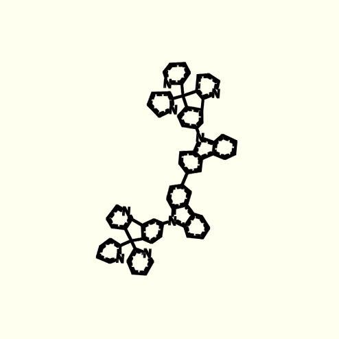 c1ccc(C2(c3ccccn3)c3ccc(-n4c5ccccc5c5cc(-c6ccc7c(c6)c6ccccc6n7-c6ccc7c(c6)-c6ncccc6C7(c6ccccn6)c6ccccn6)ccc54)cc3-c3ncccc32)nc1